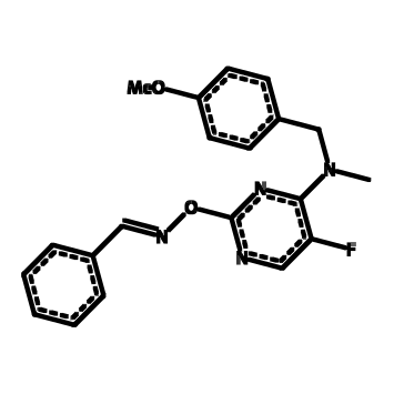 COc1ccc(CN(C)c2nc(ON=Cc3ccccc3)ncc2F)cc1